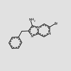 Nc1c(Cc2ccccc2)nc2cnc(Br)cn12